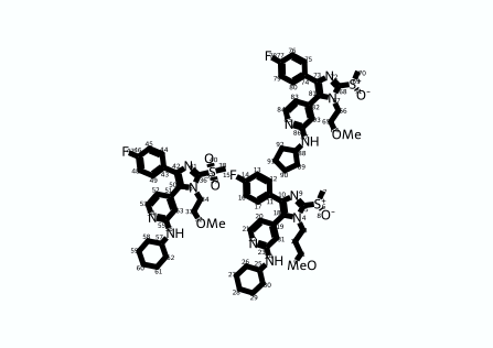 COCCCn1c([S+](C)[O-])nc(-c2ccc(F)cc2)c1-c1ccnc(NC2CCCCC2)c1.COCCn1c(S(C)(=O)=O)nc(-c2ccc(F)cc2)c1-c1ccnc(NC2CCCCC2)c1.COCCn1c([S+](C)[O-])nc(-c2ccc(F)cc2)c1-c1ccnc(NC2CCCC2)c1